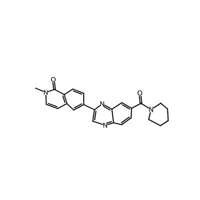 Cn1ccc2cc(-c3cnc4ccc(C(=O)N5CCCCC5)cc4n3)ccc2c1=O